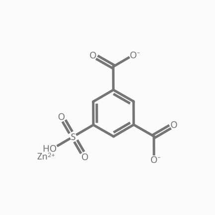 O=C([O-])c1cc(C(=O)[O-])cc(S(=O)(=O)O)c1.[Zn+2]